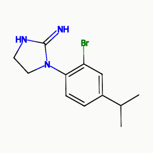 CC(C)c1ccc(N2CCNC2=N)c(Br)c1